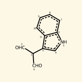 O=CC(C=O)c1c[nH]c2ccccc12